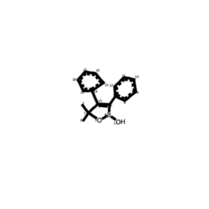 CC1(C)OB(O)C(c2ccccc2)=C1c1ccccc1